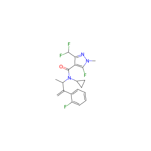 C=C(c1ccccc1F)C(C)N(C(=O)c1c(C(F)F)nn(C)c1F)C1CC1